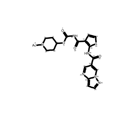 CC(=O)N1CCC(OC(=O)NC(=O)c2ccsc2NC(=O)c2cnc3ccnn3c2)CC1